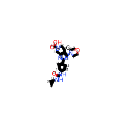 CC1COCCN1c1nc(-c2ccc(NC(=O)NC3CC3)cc2)nc2c1CCN(C(=O)O)C2